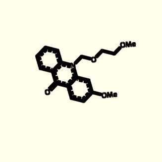 COCCOCn1c2ccccc2c(=O)c2ccc(OC)cc21